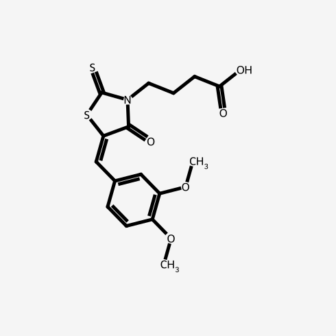 COc1ccc(C=C2SC(=S)N(CCCC(=O)O)C2=O)cc1OC